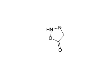 O=C1C[N]NO1